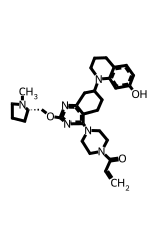 C=CC(=O)N1CCN(c2nc(OC[C@@H]3CCCN3C)nc3c2CCC(N2CCCc4ccc(O)cc42)C3)CC1